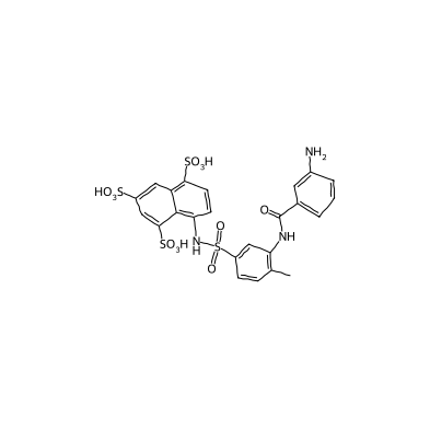 Cc1ccc(S(=O)(=O)Nc2ccc(S(=O)(=O)O)c3cc(S(=O)(=O)O)cc(S(=O)(=O)O)c23)cc1NC(=O)c1cccc(N)c1